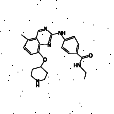 CCNC(=O)c1ccc(Nc2ncc3c(C)ccc(OC4CCNCC4)c3n2)cc1